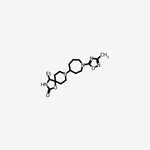 CCC1NC(=O)OC12CCN(C1CCCN(c3nc(C)no3)CC1)CC2